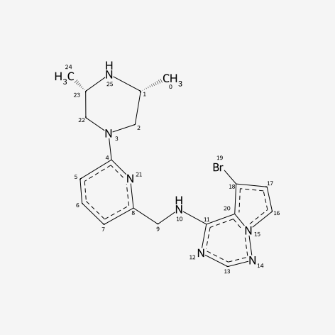 C[C@@H]1CN(c2cccc(CNc3ncnn4ccc(Br)c34)n2)C[C@H](C)N1